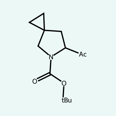 CC(=O)C1CC2(CC2)CN1C(=O)OC(C)(C)C